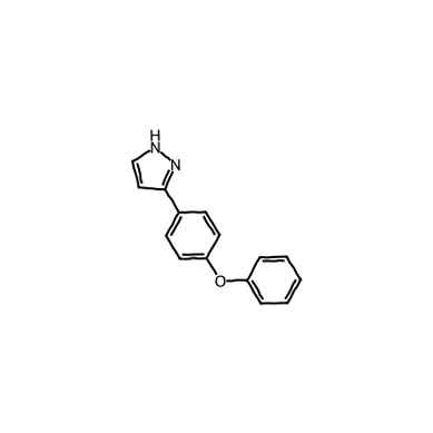 c1ccc(Oc2ccc(-c3cc[nH]n3)cc2)cc1